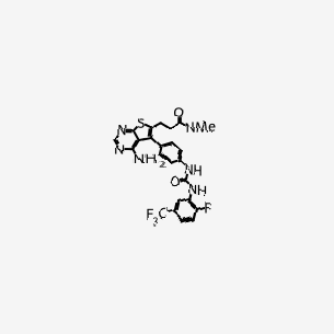 CNC(=O)CCc1sc2ncnc(N)c2c1-c1ccc(NC(=O)Nc2cc(C(F)(F)F)ccc2F)cc1